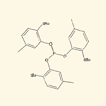 Cc1ccc(C(C)(C)C)c(OP(Oc2cc(C)ccc2C(C)(C)C)Oc2cc(C)ccc2C(C)(C)C)c1